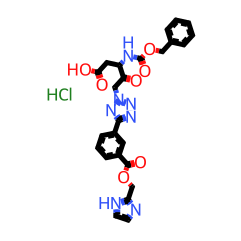 Cl.O=C(O)CC(NC(=O)OCc1ccccc1)C(=O)Cn1nnc(-c2cccc(C(=O)OCc3ncc[nH]3)c2)n1